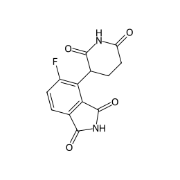 O=C1CCC(c2c(F)ccc3c2C(=O)NC3=O)C(=O)N1